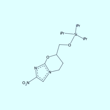 CC(C)[Si](OCC1CCn2cc([N+](=O)[O-])nc2O1)(C(C)C)C(C)C